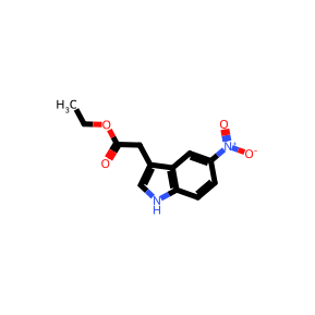 CCOC(=O)Cc1c[nH]c2ccc([N+](=O)[O-])cc12